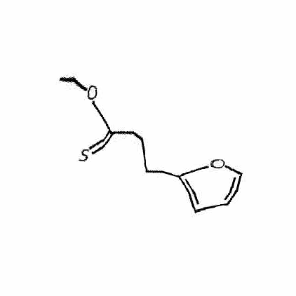 COC(=S)CCc1ccco1